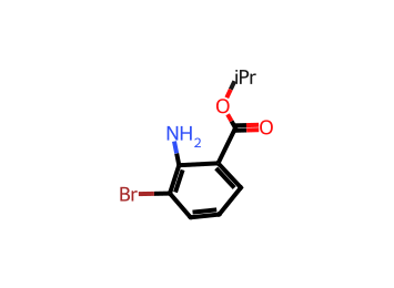 CC(C)OC(=O)c1cccc(Br)c1N